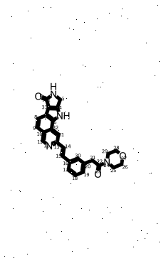 O=C1NCc2[nH]c3c(ccc4cnc(C=Cc5cccc(CC(=O)N6CCOCC6)c5)cc43)c21